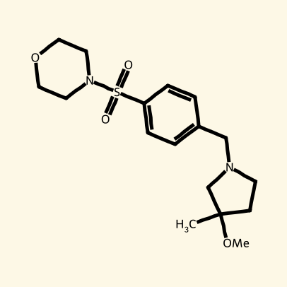 COC1(C)CCN(Cc2ccc(S(=O)(=O)N3CCOCC3)cc2)C1